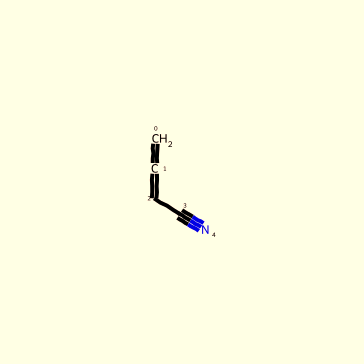 C=C=CC#N